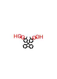 Cc1cc(C2(c3ccc(OCO)c(C)c3)c3ccccc3-c3ccccc32)ccc1OCO